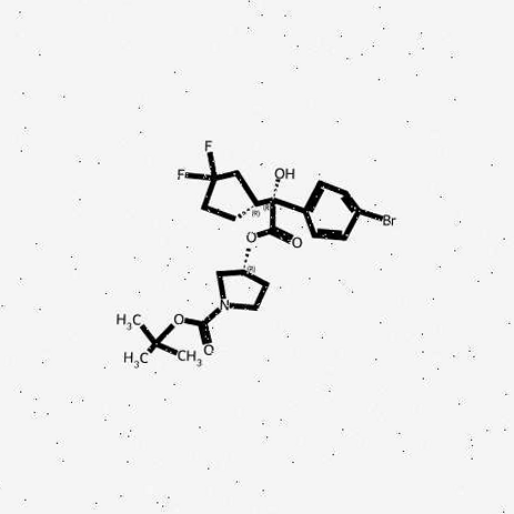 CC(C)(C)OC(=O)N1CC[C@@H](OC(=O)[C@](O)(c2ccc(Br)cc2)[C@@H]2CCC(F)(F)C2)C1